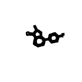 CC1Cc2c(cccc2-c2ccc(F)cc2)C1=O